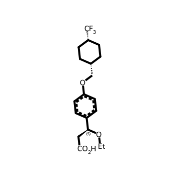 CCO[C@@H](CC(=O)O)c1ccc(OC[C@H]2CC[C@@H](C(F)(F)F)CC2)cc1